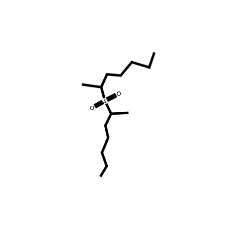 CCCCCC(C)S(=O)(=O)C(C)CCCCC